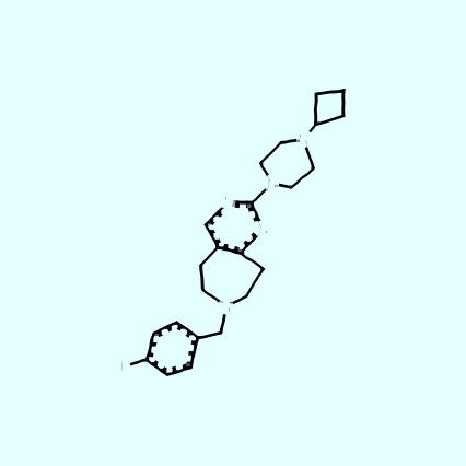 Fc1ccc(CN2CCc3cnc(N4CCN(C5CCC5)CC4)nc3CC2)cc1